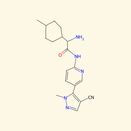 CC1CCC(C(N)C(=O)Nc2ccc(-c3c(C#N)cnn3C)cn2)CC1